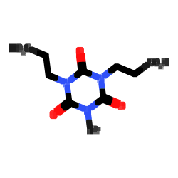 CCCn1c(=O)n(CCC(=O)O)c(=O)n(CCC(=O)O)c1=O